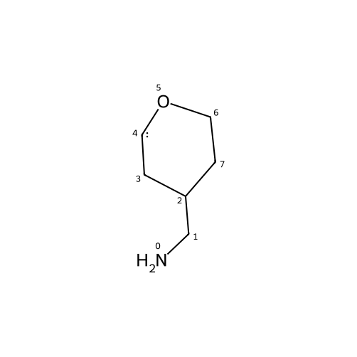 NCC1C[C]OCC1